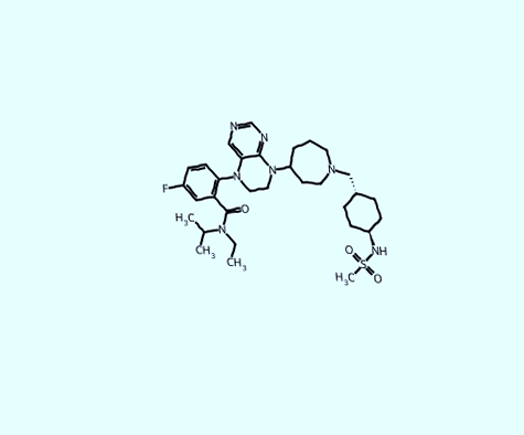 CCN(C(=O)c1cc(F)ccc1N1CCN(C2CCCN(C[C@H]3CC[C@H](NS(C)(=O)=O)CC3)CC2)c2ncncc21)C(C)C